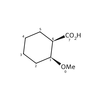 CO[C@H]1CCCC[C@H]1C(=O)O